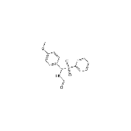 COc1ccc(C(NC=O)S(=O)(=O)c2ccccc2)cc1